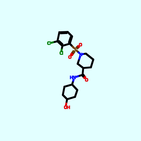 O=C(NC1CCC(O)CC1)C1CCCN(S(=O)(=O)c2cccc(Cl)c2Cl)C1